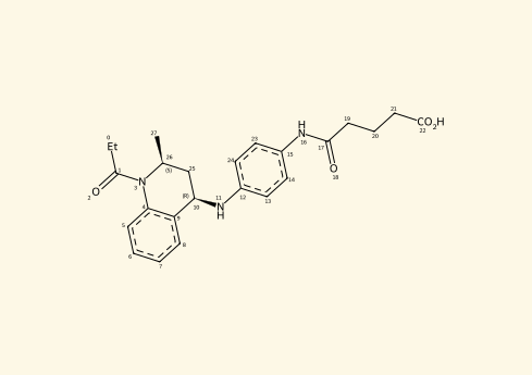 CCC(=O)N1c2ccccc2[C@H](Nc2ccc(NC(=O)CCCC(=O)O)cc2)C[C@@H]1C